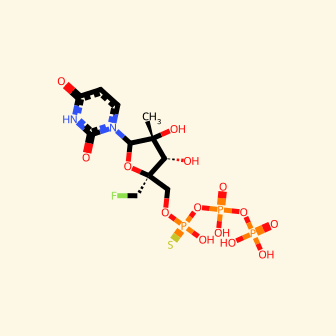 C[C@]1(O)C(n2ccc(=O)[nH]c2=O)O[C@](CF)(COP(O)(=S)OP(=O)(O)OP(=O)(O)O)[C@H]1O